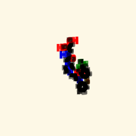 O=C(CN1CCN(CC(O)CN2c3ccccc3Sc3ccc(C(F)(F)F)cc32)CC1)NCC(O)CO